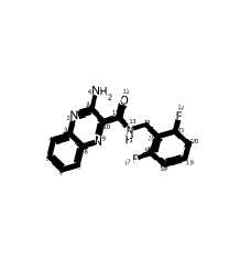 Nc1nc2ccccc2nc1C(=O)NCC1=C(F)C=CCC1F